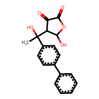 CC(O)(c1ccc(-c2ccccc2)cc1)C1C(=O)C(=O)OC1O